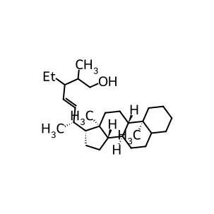 CCC(C=C[C@@H](C)[C@H]1CC[C@H]2[C@@H]3CCC4CCCC[C@]4(C)[C@H]3CC[C@]12C)C(C)CO